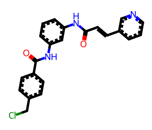 O=C(C=Cc1cccnc1)Nc1cccc(NC(=O)c2ccc(CCl)cc2)c1